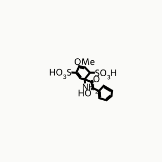 COC1=CC(S(=O)(=O)O)C(N)(C(=O)C(O)c2ccccc2)C=C1S(=O)(=O)O